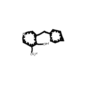 O=C(O)c1cncc(Cc2ccccc2)c1O